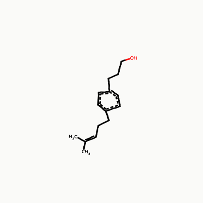 CC(C)=CCCc1ccc(CCCO)cc1